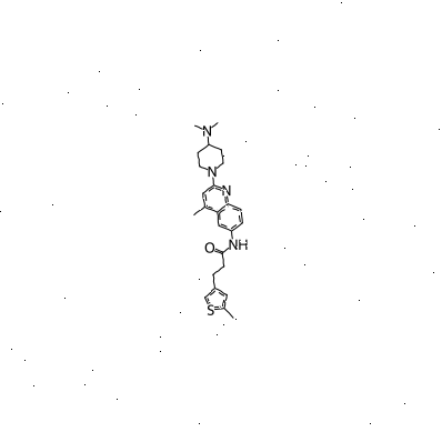 Cc1cc(CCC(=O)Nc2ccc3nc(N4CCC(N(C)C)CC4)cc(C)c3c2)cs1